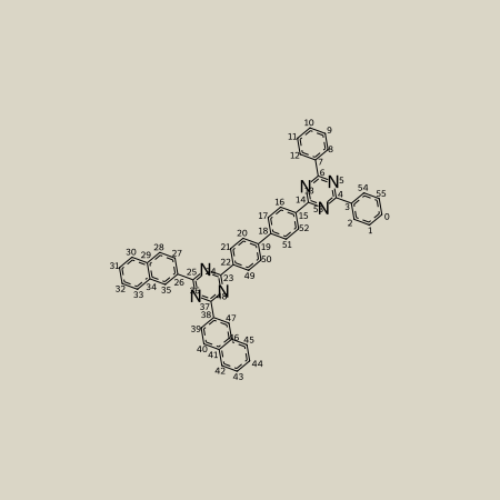 c1ccc(-c2nc(-c3ccccc3)nc(-c3ccc(-c4ccc(-c5nc(-c6ccc7ccccc7c6)nc(-c6ccc7ccccc7c6)n5)cc4)cc3)n2)cc1